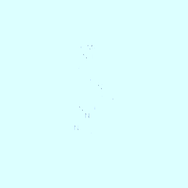 CON/C=C\C=C(/C)N(C)C(=O)c1cnn(-c2ncccc2C)c1C